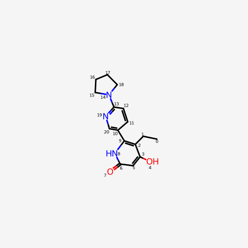 CCc1c(O)cc(=O)[nH]c1-c1ccc(N2CCCC2)nc1